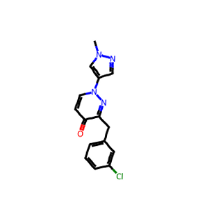 Cn1cc(-n2ccc(=O)c(Cc3cccc(Cl)c3)n2)cn1